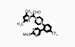 CSc1ncc(-c2cc(C(F)(F)F)ccc2N2CCN(C(C=O)n3nc(C)cc3C)CC2)cn1